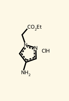 CCOC(=O)Cn1cc(N)cn1.Cl